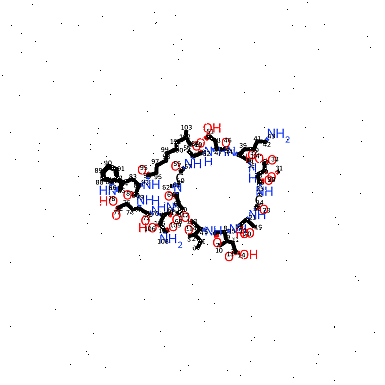 CCC(C)C1NC(=O)C(C(C)CC(=O)O)NC(=O)C(CO)NC(=O)CNC(=O)C(C(OC)C(=O)O)NC(=O)C(CCCCN)NC(=O)C(CC(=O)O)NC(=O)C(C)NC(=O)CN(C)C(=O)C(NC(=O)C(NC(=O)C(CCC(=O)O)NC(=O)C(Cc2c[nH]c3ccccc23)NC(=O)CCCCCCC(C)C)C(O)C(N)=O)C(C)OC1=O